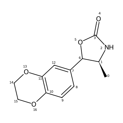 C[C@@H]1NC(=O)OC1c1ccc2c(c1)OCCO2